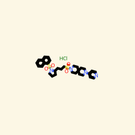 Cl.O=S(=O)(CCCC1CCCN1S(=O)(=O)c1cccc2ccccc12)N1CCC2(CCN(c3ccncc3)CC2)CC1